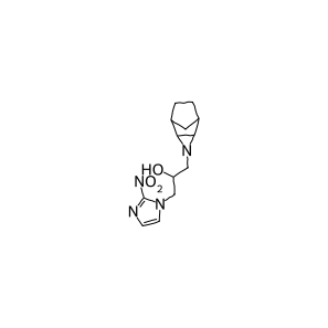 O=[N+]([O-])c1nccn1CC(O)CN1C2C3CCC(C3)C21